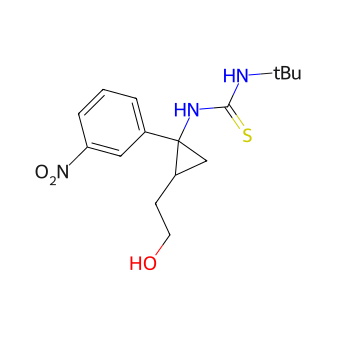 CC(C)(C)NC(=S)NC1(c2cccc([N+](=O)[O-])c2)CC1CCO